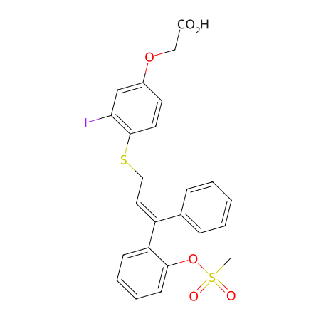 CS(=O)(=O)Oc1ccccc1C(=CCSc1ccc(OCC(=O)O)cc1I)c1ccccc1